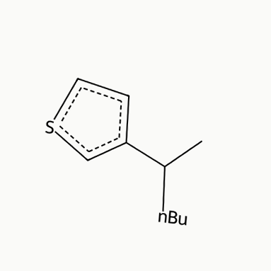 CCCCC(C)c1ccsc1